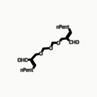 CCCCCC=C(C=O)COCOCOCC(C=O)=CCCCCC